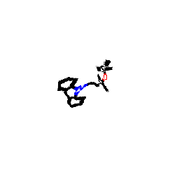 C[Si](C)(C)O[Si](C)(C)CCn1c2ccccc2c2ccccc21